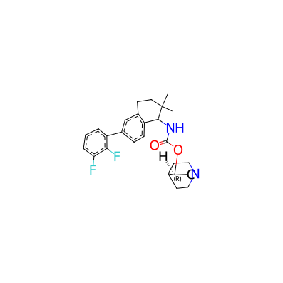 CC1(C)CCc2cc(-c3cccc(F)c3F)ccc2C1NC(=O)O[C@H]1CN2CCC1CC2